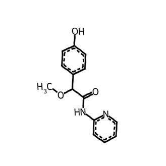 COC(C(=O)Nc1ccccn1)c1ccc(O)cc1